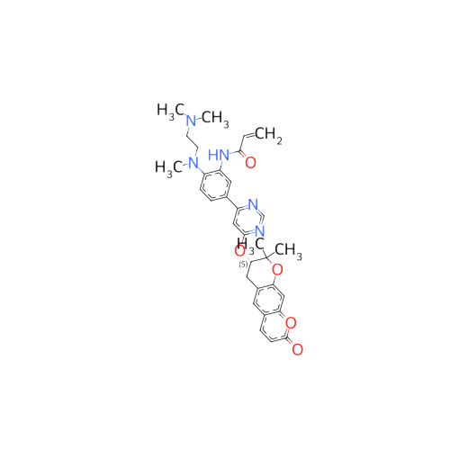 C=CC(=O)Nc1cc(-c2cc(O[C@H]3Cc4cc5ccc(=O)oc5cc4OC3(C)C)ncn2)ccc1N(C)CCN(C)C